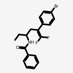 CCC(CC(=C(F)F)c1ccc(Br)cc1)NC(=O)c1ccccc1